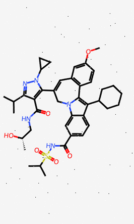 COc1ccc2c(c1)C=C(c1c(C(=O)NC[C@H](C)O)c(C(C)C)nn1C1CC1)Cn1c-2c(C2CCCCC2)c2ccc(C(=O)NS(=O)(=O)C(C)C)cc21